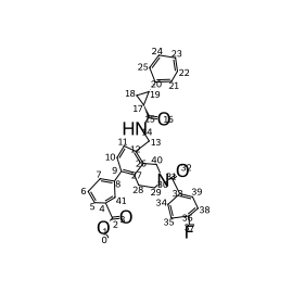 COC(=O)c1cccc(-c2ccc(CNC(=O)[C@H]3C[C@@H]3c3ccccc3)c3c2CCN(C(=O)c2ccc(F)cc2)C3)c1